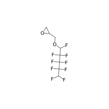 FC(F)C(F)(F)C(F)(F)C(F)(F)C(F)OCC1CO1